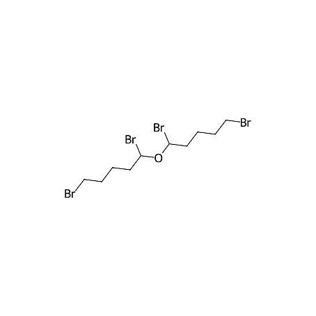 BrCCCCC(Br)OC(Br)CCCCBr